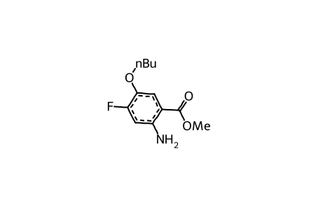 CCCCOc1cc(C(=O)OC)c(N)cc1F